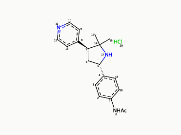 CC(=O)Nc1ccc([C@@H]2C[C@@H](c3ccncc3)C(C)(C)N2)cc1.Cl